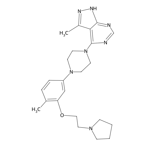 Cc1ccc(N2CCN(c3ncnc4[nH]nc(C)c34)CC2)cc1OCCN1CCCC1